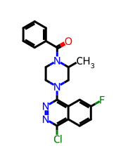 CC1CN(c2nnc(Cl)c3ccc(F)cc23)CCN1C(=O)c1ccccc1